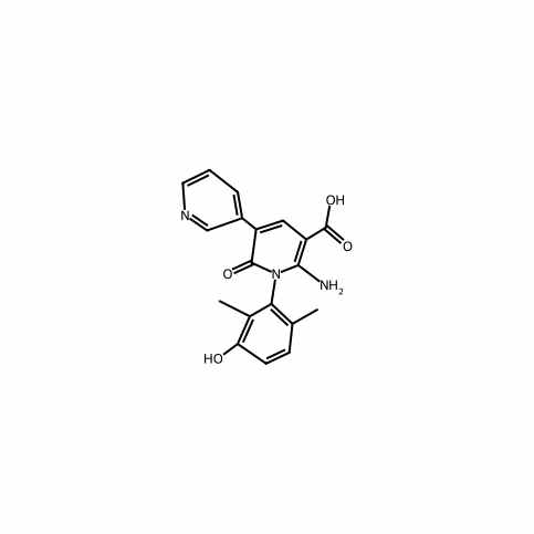 Cc1ccc(O)c(C)c1-n1c(N)c(C(=O)O)cc(-c2cccnc2)c1=O